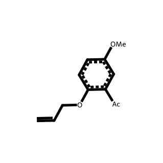 C=CCOc1ccc(OC)cc1C(C)=O